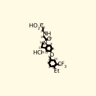 CCc1ccc(COc2ccc3c(c2)CCN3C(=O)CNCCC(=O)O)cc1C(F)(F)F.Cl